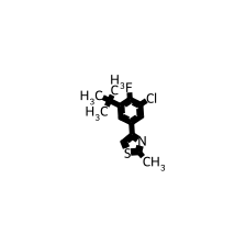 Cc1nc(-c2cc(Cl)c(F)c(C(C)(C)C)c2)cs1